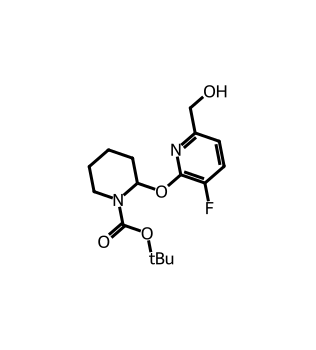 CC(C)(C)OC(=O)N1CCCCC1Oc1nc(CO)ccc1F